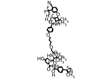 Cc1ncsc1-c1ccc([C@H](O)NC(=O)[C@@H]2C[C@@H](O)CN2C(=O)C(NC(=O)COCCCCOc2ccc(C(=O)N[C@H]3C(C)(C)[C@H](Oc4ccc(C#N)c(C(F)(F)F)c4)C3(C)C)cc2)C(C)(C)C)cc1